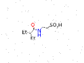 CCC(CC)C(=O)NCCS(=O)(=O)O